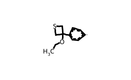 CCOC1(c2cc[c]cc2)CSC1